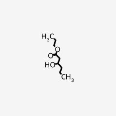 CCCOC(=O)CC(O)CCC